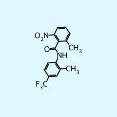 Cc1cc(C(F)(F)F)ccc1NC(=O)c1c(C)cccc1[N+](=O)[O-]